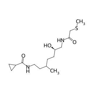 CSCC(=O)NC[C@H](O)CCC(C)CCNC(=O)C1CC1